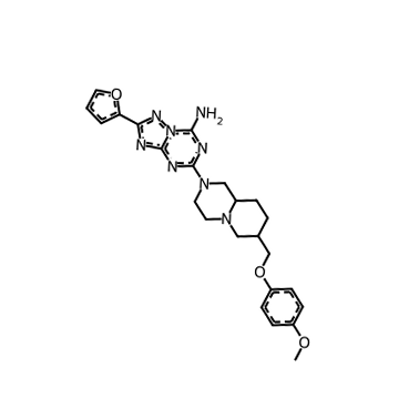 COc1ccc(OCC2CCC3CN(c4nc(N)n5nc(-c6ccco6)nc5n4)CCN3C2)cc1